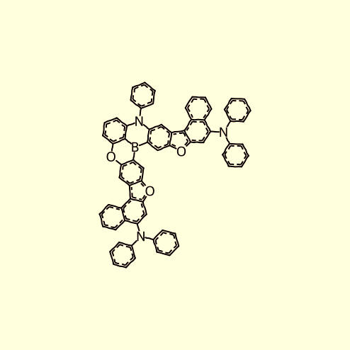 c1ccc(N2c3cc4c(cc3B3c5cc6oc7cc(N(c8ccccc8)c8ccccc8)c8ccccc8c7c6cc5Oc5cccc2c53)oc2cc(N(c3ccccc3)c3ccccc3)c3ccccc3c24)cc1